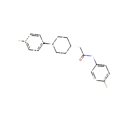 O=C(C[C@H]1CC[C@H](c2ccc(F)cc2)CC1)Nc1ccc(F)cc1